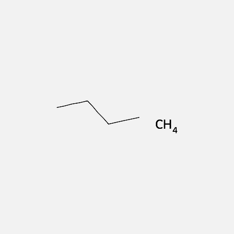 C.CCCC